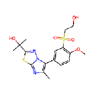 COc1ccc(-c2c(C)nc3sc(C(C)(C)O)nn23)cc1S(=O)(=O)CCO